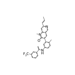 C=C(Nc1ccc(C)c(-c2cc3cnc(/C=C/C)cc3n(C)c2=O)c1)c1cccc(C(F)(F)F)c1